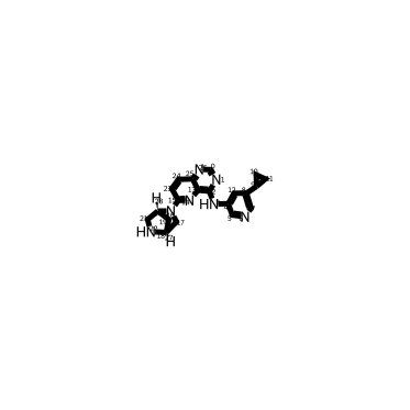 c1nc(Nc2cncc(C3CC3)c2)c2nc(N3C[C@@H]4C[C@H]3CN4)ccc2n1